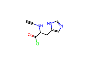 C#CNC(Cc1cnc[nH]1)C(=O)Cl